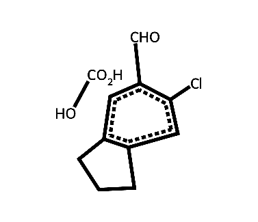 O=C(O)O.O=Cc1cc2c(cc1Cl)CCC2